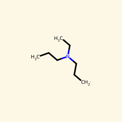 [CH2]CCN(CC)CCC